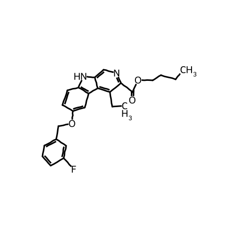 CCCCOC(=O)c1ncc2[nH]c3ccc(OCc4cccc(F)c4)cc3c2c1CC